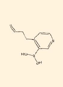 C=CCCc1ccncc1B(O)O